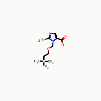 C[Si](C)(C)CCOCn1c(C(=O)[O-])cnc1Br.[Li+]